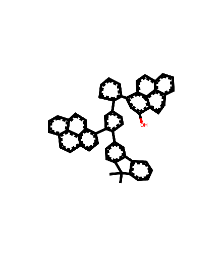 CC1(C)c2ccccc2-c2cc(-c3ccc(-c4ccccc4-c4cc(O)c5ccc6cccc7ccc4c5c67)cc3-c3ccc4ccc5cccc6ccc3c4c56)ccc21